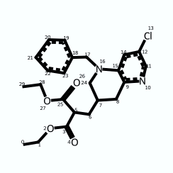 CCOC(=O)C(CC1Cc2ncc(Cl)cc2N(Cc2ccccc2)C1)C(=O)OCC